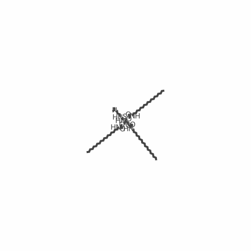 CCCCCCCCCCCCCCCCCCNC(=O)OCC(COC(=O)NCCCCCCCCCCCCCCCCCC)(COC(=O)NCCCCCCCCCCCCCCCCCC)NC(=S)NCCCN(C)C